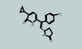 O=C1CC[C@H](/C=C(\c2ccc(C(F)(F)F)cc2)c2ccc(C3CC3)c(=O)[nH]2)N1